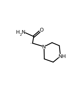 NC(=O)[CH]N1CCNCC1